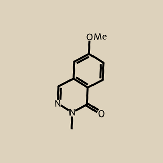 COc1ccc2c(=O)n(C)ncc2c1